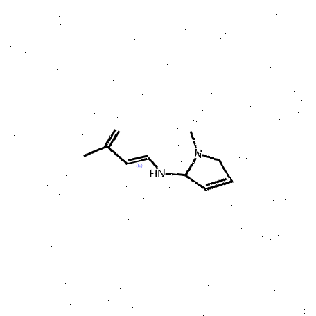 C=C(C)/C=C/NC1C=CCN1C